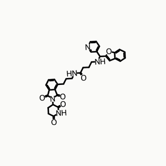 O=C(CCCNC(c1cccnc1)c1cc2ccccc2o1)NCCCc1cccc2c1C(=O)N(C1CCC(=O)NC1=O)C2=O